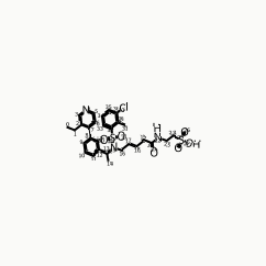 CCc1cnccc1-c1cccc(C(C)N(CCCCC(=O)NCCS(=O)(=O)O)S(=O)(=O)c2cccc(Cl)c2C)c1